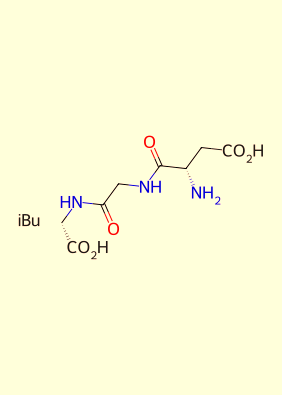 CC[C@H](C)[C@H](NC(=O)CNC(=O)[C@@H](N)CC(=O)O)C(=O)O